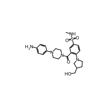 CNS(=O)(=O)c1ccc(N2CCC(CO)C2)c(C(=O)N2CCN(c3ccc(N)cc3)CC2)c1